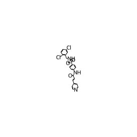 O=C(/C=C/c1ccncc1)Nc1ccc(S(=O)(=O)NCc2cc(Cl)ccc2Cl)cc1